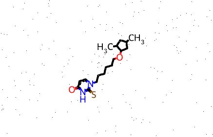 CC1CC(C)C(OCCCCCCn2ccc(=O)[nH]c2=S)C1